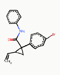 C=CC1CC1(C(=O)Nc1ccccc1)c1ccc(Br)cc1